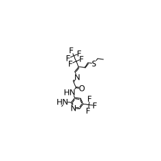 CCS/C=C/C(=C\N=C\C(=O)Nc1cc(C(F)(F)F)cnc1NC)C(F)(F)C(F)(F)F